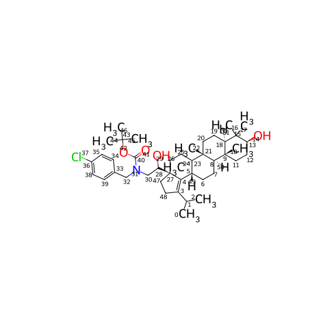 CC(C)C1=C2[C@H]3CC[C@@H]4[C@@]5(C)CC[C@H](O)C(C)(C)[C@@H]5CC[C@@]4(C)[C@]3(C)CC[C@@]2(C(O)CN(Cc2ccc(Cl)cc2)C(=O)OC(C)(C)C)CC1